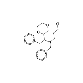 ClCCCN(Cc1ccccc1)C(Cc1ccccc1)C1COCCO1